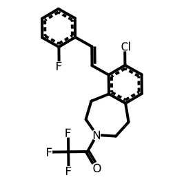 O=C(N1CCc2ccc(Cl)c(C=Cc3ccccc3F)c2CC1)C(F)(F)F